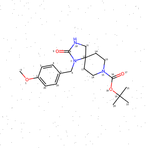 COc1ccc(CN2C(=O)NCC23CCN(C(=O)OC(C)(C)C)CC3)cc1